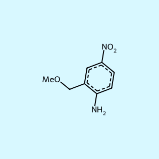 COCc1cc([N+](=O)[O-])ccc1N